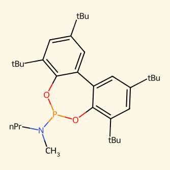 CCCN(C)p1oc2c(C(C)(C)C)cc(C(C)(C)C)cc2c2cc(C(C)(C)C)cc(C(C)(C)C)c2o1